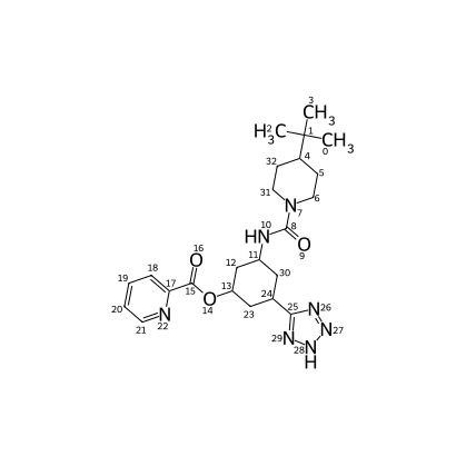 CC(C)(C)C1CCN(C(=O)NC2CC(OC(=O)c3ccccn3)CC(c3nn[nH]n3)C2)CC1